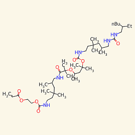 C=CC(=O)OCCOC(=O)NCCC(C)(C)CC(C)CNC(=O)C(C)(C)OC(C)CC(C)(C)OC(=O)NCCC(C)(C)CC(C)CNC(=O)NCC(CC)CCCC